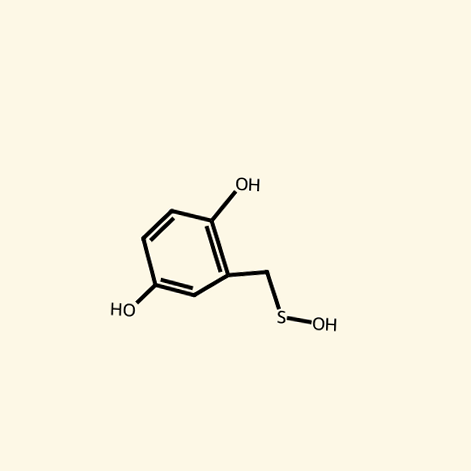 OSCc1cc(O)ccc1O